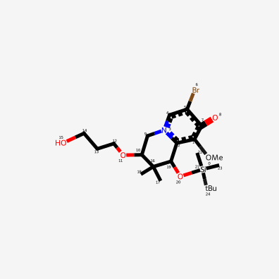 COc1c2n(cc(Br)c1=O)CC(OCCCO)C(C)(C)C2O[Si](C)(C)C(C)(C)C